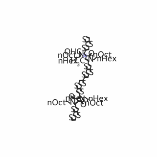 CCCCCCCCC(CCCCCC)CN1C(=O)C2=C(c3cc4sc5cc(-c6cc7sc8cc(C9=C(C)/C(=C(/c%10cc%11sc%12ccsc%12c%11s%10)N(C=O)CC(CCCCCC)CCCCCCCC)C(=O)N9CC(CCCCCC)CCCCCCCC)sc8c7s6)sc5c4s3)N(CC(CCCCCC)CCCCCCCC)C(=O)C2=C1c1cc2sc3ccsc3c2s1